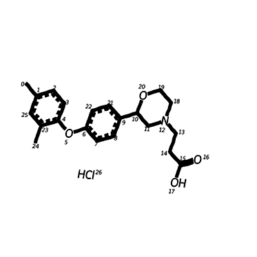 Cc1ccc(Oc2ccc(C3CN(CCC(=O)O)CCO3)cc2)c(C)c1.Cl